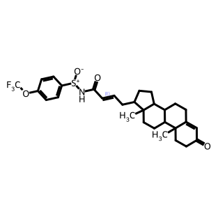 CC12CCC(=O)C=C1CCC1C2CCC2(C)C(C/C=C/C(=O)N[S+]([O-])c3ccc(OC(F)(F)F)cc3)CCC12